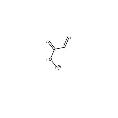 C=CC(=C)OCCC